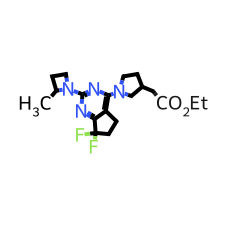 CCOC(=O)CC1CCN(c2nc(N3CCC3C)nc3c2CCC3(F)F)C1